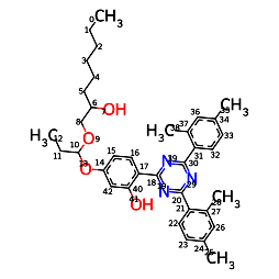 CCCCCCC(O)COC(CC)Oc1ccc(-c2nc(-c3ccc(C)cc3C)nc(-c3ccc(C)cc3C)n2)c(O)c1